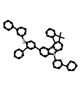 CC1(C)c2ccccc2-c2c1ccc1c2c2cc(-c3ccc(Nc4cccc(-c5ccccc5)c4)c(-c4ccccc4)c3)ccc2n1-c1cccc(-c2ccccc2)c1